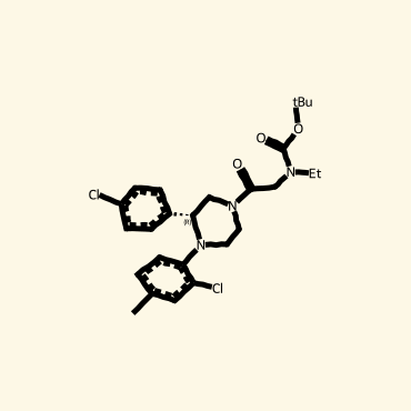 CCN(CC(=O)N1CCN(c2ccc(C)cc2Cl)[C@H](c2ccc(Cl)cc2)C1)C(=O)OC(C)(C)C